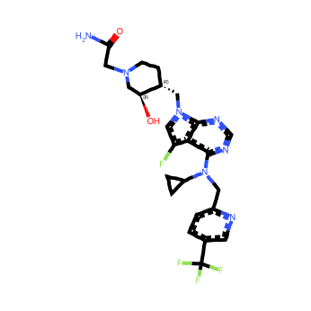 NC(=O)CN1CC[C@H](Cn2cc(F)c3c(N(Cc4ccc(C(F)(F)F)cn4)C4CC4)ncnc32)[C@@H](O)C1